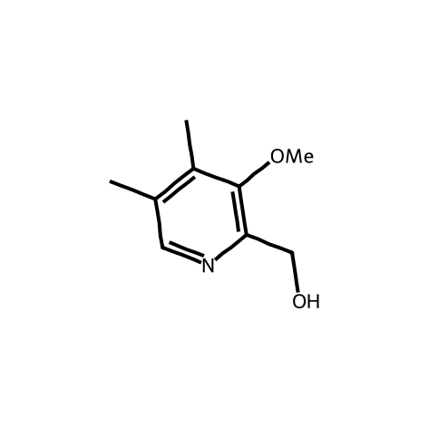 COc1c(CO)ncc(C)c1C